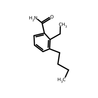 CCCCc1cccc(C(N)=O)c1CC